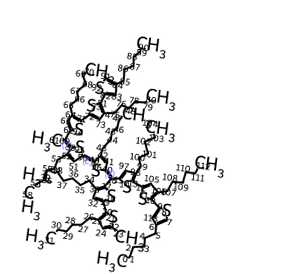 CCCCCCc1csc(-c2sc(-c3sc(/C(c4sc(-c5sc(C)cc5CCCCCC)cc4CCCCCC)=c4\cc(CCCCCC)/c(=c5/cc(CCCCCC)/c(=C(\C)c6cc(CCCCCC)c(-c7cc(CCCCCC)c(-c8cc(CCCCCC)cs8)s7)s6)s5)s4)cc3CCCCCC)cc2CCCCCC)c1